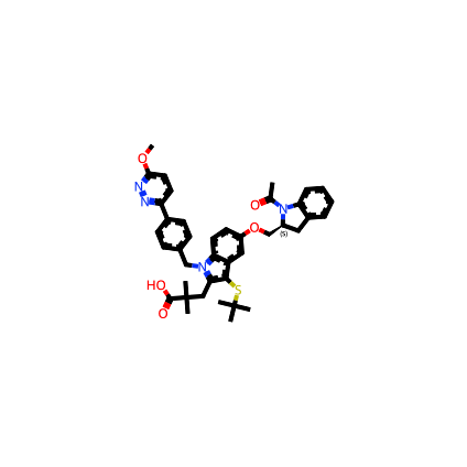 COc1ccc(-c2ccc(Cn3c(CC(C)(C)C(=O)O)c(SC(C)(C)C)c4cc(OC[C@@H]5Cc6ccccc6N5C(C)=O)ccc43)cc2)nn1